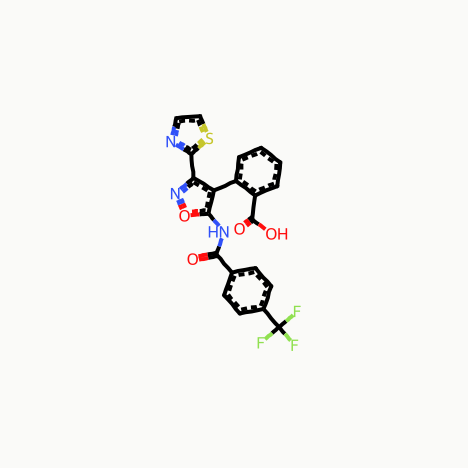 O=C(Nc1onc(-c2nccs2)c1-c1ccccc1C(=O)O)c1ccc(C(F)(F)F)cc1